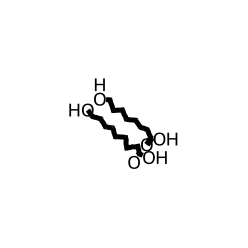 O=C(O)CCCCCCCCO.O=C(O)CCCCCCCO